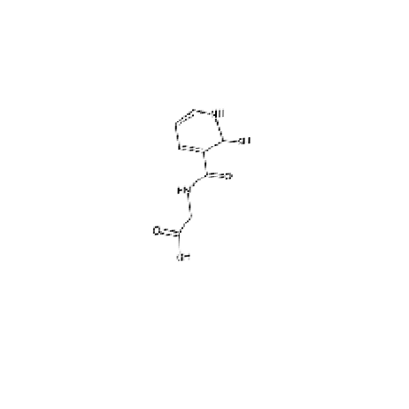 O=C(O)CNC(=O)C1=CC=CNC1S